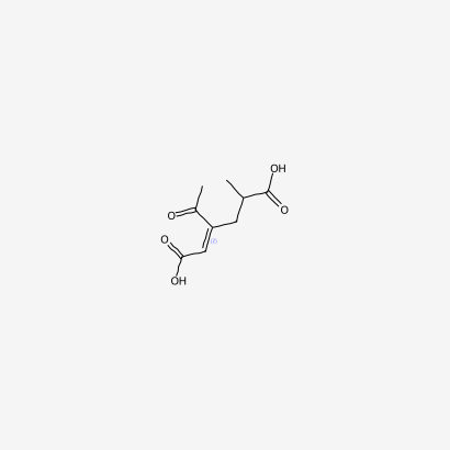 CC(=O)/C(=C\C(=O)O)CC(C)C(=O)O